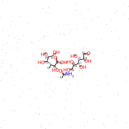 CC(N)=O.CCC(O)C(=O)O.O=C[C@H](O)[C@@H](O)[C@H](O)[C@H](O)CO.OCC(O)CO